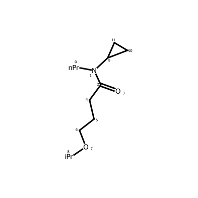 CCCN(C(=O)CCCOC(C)C)C1CC1